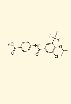 CC(C)Oc1c(Cl)cc(C(=O)Nc2ccc(C(=O)O)cc2)cc1C(F)(F)F